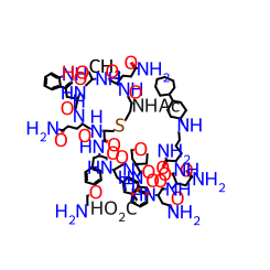 CC(=O)NC1CCSCC(C(=O)NC(Cc2ccc(OCCN)cc2)C(=O)NC(Cc2ccc3ccccc3c2)C(=O)NC2(C(=O)NC(CCC(=O)O)C(=O)NC(CC(N)=O)C(=O)NC(CC(N)=O)C(=O)NC(CCCCNC3CCC(C4CCCCCC4)CC3)C(N)=O)CCOCC2)NC(=O)C(CCC(N)=O)NC(=O)C(Cc2c[nH]c3ccccc23)NC(=O)C(C(C)O)NC(=O)C(CCC(N)=O)NC1=O